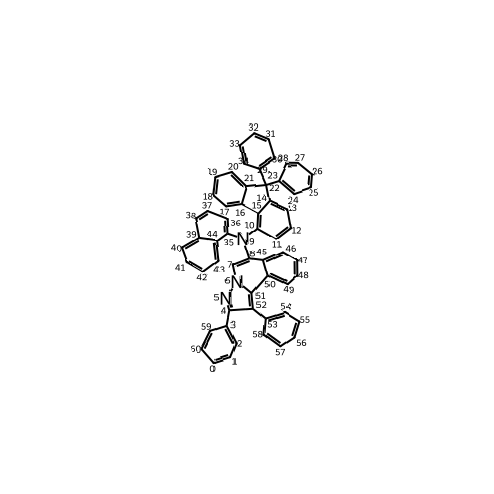 c1ccc(-c2nn3cc(N(c4cccc5c4-c4ccccc4C5(c4ccccc4)c4ccccc4)c4cccc5ccccc45)c4ccccc4c3c2-c2ccccc2)cc1